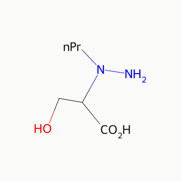 CCCN(N)C(CO)C(=O)O